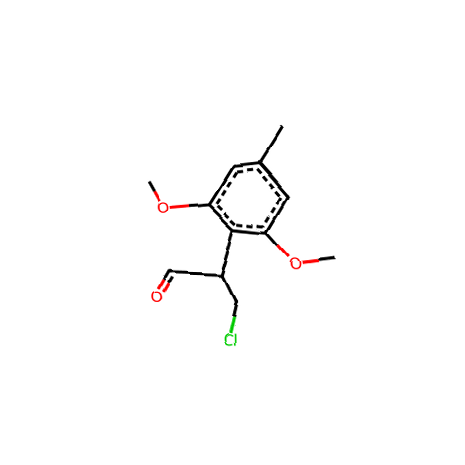 COc1cc(C)cc(OC)c1C(C=O)CCl